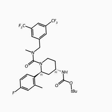 Cc1cc(F)ccc1[C@@H]1C[C@@H](NC(=O)OC(C)(C)C)CCN1C(=O)N(C)Cc1cc(C(F)(F)F)cc(C(F)(F)F)c1